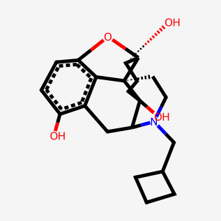 Oc1ccc2c3c1CC1N(CC4CCC4)CC[C@@]34C(O2)[C@@H](O)CCC14O